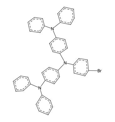 Brc1ccc(N(c2ccc(N(c3ccccc3)c3ccccc3)cc2)c2ccc(N(c3ccccc3)c3ccccc3)cc2)cc1